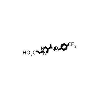 C/C(=N\OCc1ccc(C(F)(F)F)cc1)c1cnc(CCC(=O)O)nc1